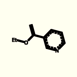 C=C(OCC)c1cccnc1